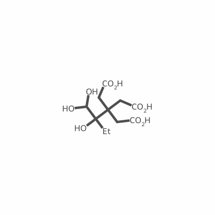 CCC(O)(C(O)O)C(CC(=O)O)(CC(=O)O)CC(=O)O